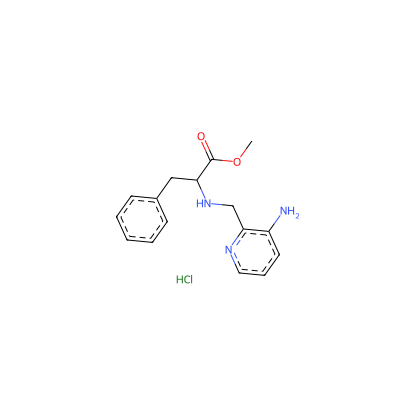 COC(=O)C(Cc1ccccc1)NCc1ncccc1N.Cl